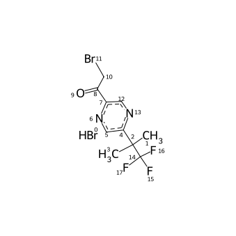 Br.CC(C)(c1cnc(C(=O)CBr)cn1)C(F)(F)F